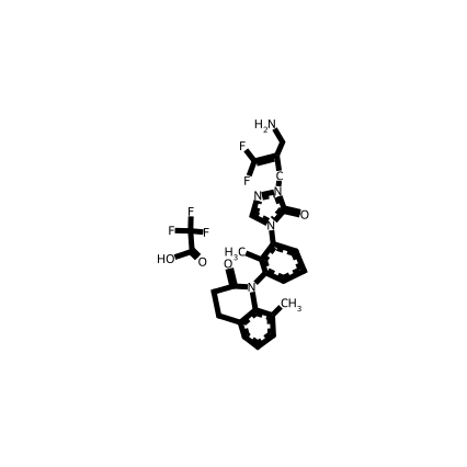 Cc1cccc2c1N(c1cccc(-n3cnn(CC(CN)=C(F)F)c3=O)c1C)C(=O)CC2.O=C(O)C(F)(F)F